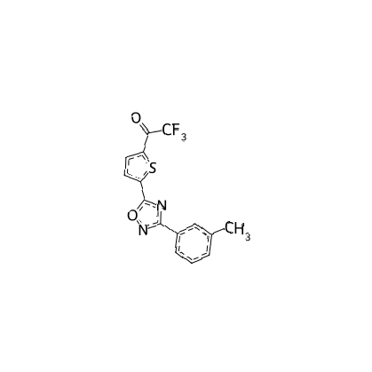 Cc1cccc(-c2noc(-c3ccc(C(=O)C(F)(F)F)s3)n2)c1